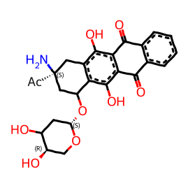 CC(=O)[C@]1(N)Cc2c(O)c3c(c(O)c2C(O[C@H]2CC(O)[C@H](O)CO2)C1)C(=O)c1ccccc1C3=O